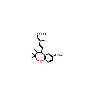 CCOC(=O)/C=C(C)/C=C/C1=C(C)C(C)(C)COc2ccc(OC)cc21